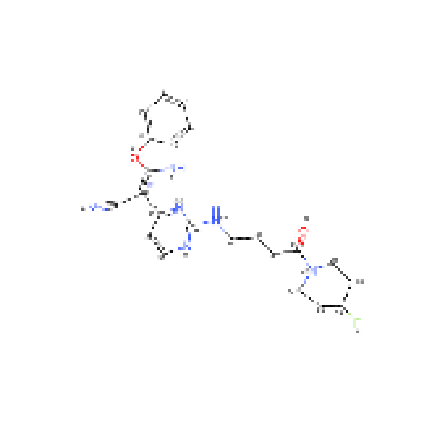 N#C/C(=C1/Nc2ccccc2O1)c1ccnc(NCCCC(=O)N2CCC(F)CC2)n1